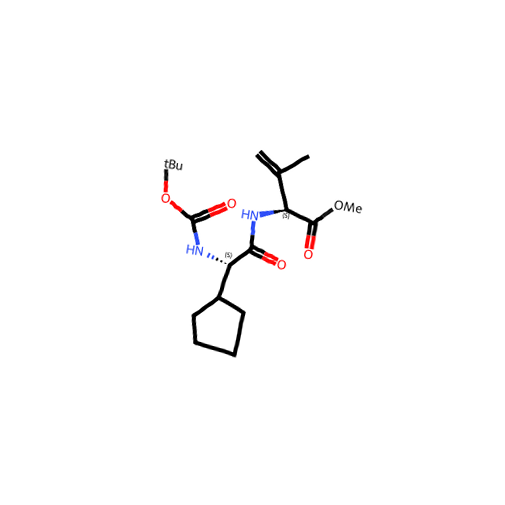 C=C(C)[C@H](NC(=O)[C@@H](NC(=O)OC(C)(C)C)C1CCCC1)C(=O)OC